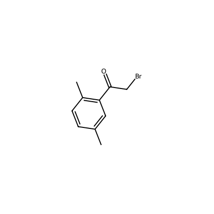 Cc1ccc(C)c(C(=O)CBr)c1